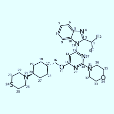 FC(F)c1nc2ccccc2n1-c1cc(OC[C@H]2CC[C@H](N3CCSCC3)CC2)nc(N2CCOCC2)n1